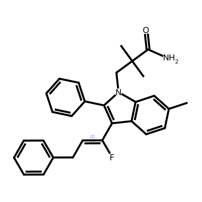 Cc1ccc2c(/C(F)=C/Cc3ccccc3)c(-c3ccccc3)n(CC(C)(C)C(N)=O)c2c1